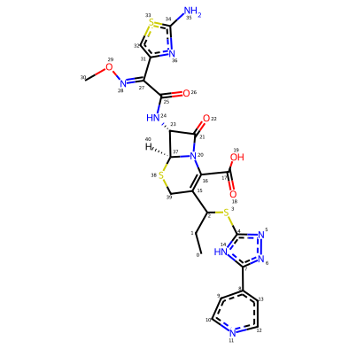 CCC(Sc1nnc(-c2ccncc2)[nH]1)C1=C(C(=O)O)N2C(=O)[C@@H](NC(=O)C(=NOC)c3csc(N)n3)[C@@H]2SC1